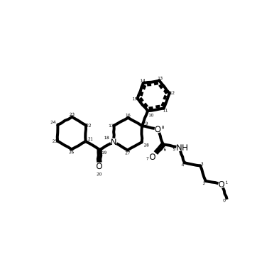 COCCCNC(=O)OC1(c2ccccc2)CCN(C(=O)C2CCCCC2)CC1